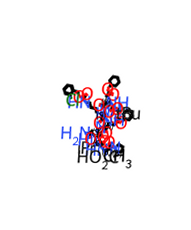 CC(C)[C@H](NC(=O)[C@H](CC(N)=O)NC(=O)[C@H](CC(=O)OC1CCCCC1)NC(=O)[C@H](CCCCNC(=O)OCc1ccccc1Cl)NC(=O)[C@H](CC(=O)OC1CCCCC1)NC(=O)OC(C)(C)C)C(=O)N[C@@H](C)C(=O)N1CCC[C@H]1C(=O)O